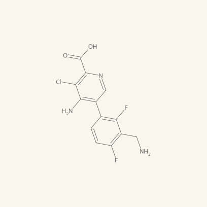 NCc1c(F)ccc(-c2cnc(C(=O)O)c(Cl)c2N)c1F